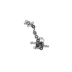 [2H]C([2H])([2H])S(=O)(=O)Nc1c(Nc2nc(Nc3cc(C)c(N4CCC(N5CCN(CCc6ccc7c(c6)CN(C6CCC(=O)NC6=O)C7=O)CC5)CC4)cc3OC)ncc2Cl)cccc1OC